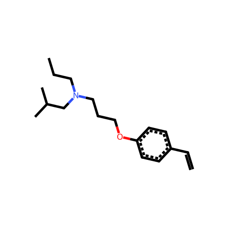 C=Cc1ccc(OCCCN(CCC)CC(C)C)cc1